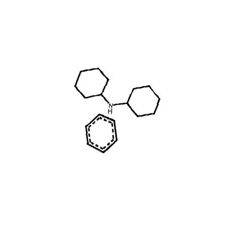 C1CCC(NC2CCCCC2)CC1.c1ccccc1